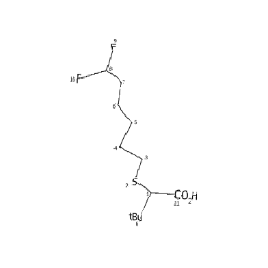 CC(C)(C)C(SCCCCCC(F)F)C(=O)O